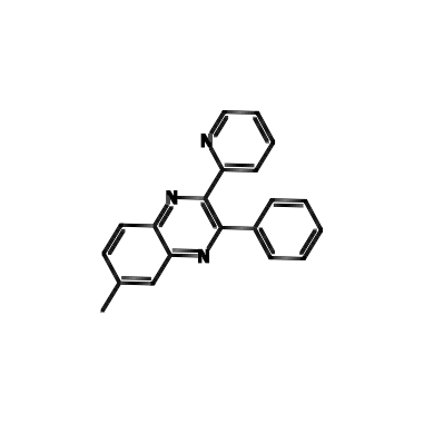 Cc1ccc2nc(-c3ccccn3)c(-c3ccccc3)nc2c1